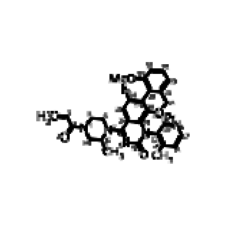 C=CC(=O)N1CCN(c2nc(=O)n(-c3c(C)ccnc3C(C)C)c3c4c(c(F)cc23)-c2c(cccc2OC)CO4)[C@@H](C)C1